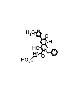 Cn1cc(-c2cc3c([nH]c2=O)CN(Cc2ccccc2)C(C(=O)NCCC(=O)O)=C3O)cn1